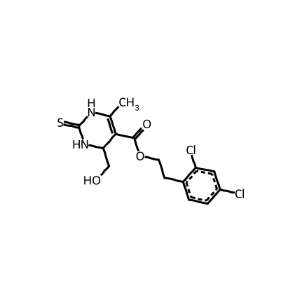 CC1=C(C(=O)OCCc2ccc(Cl)cc2Cl)C(CO)NC(=S)N1